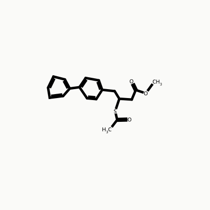 COC(=O)CC(Cc1ccc(-c2ccccc2)cc1)SC(C)=O